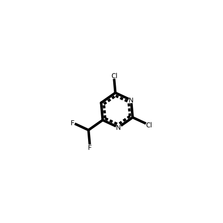 FC(F)c1cc(Cl)nc(Cl)n1